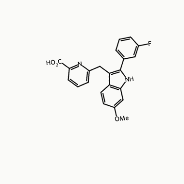 COc1ccc2c(Cc3cccc(C(=O)O)n3)c(-c3cccc(F)c3)[nH]c2c1